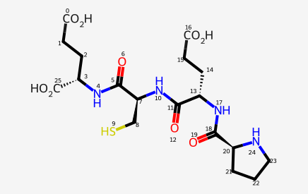 O=C(O)CC[C@H](NC(=O)[C@H](CS)NC(=O)[C@H](CCC(=O)O)NC(=O)[C@@H]1CCCN1)C(=O)O